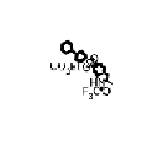 CCOC(=O)c1cc(C2C=CCCC2)ccc1S(=O)(=O)c1ccc(C[C@@H](C)NC(=O)C(F)(F)F)cc1